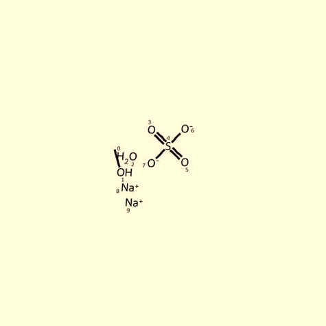 CO.O.O=S(=O)([O-])[O-].[Na+].[Na+]